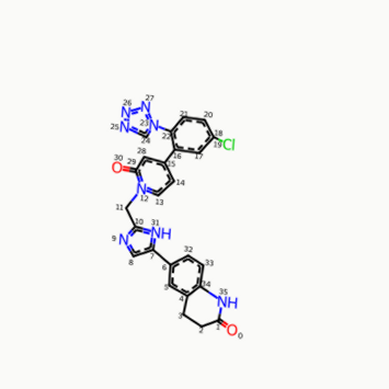 O=C1CCc2cc(-c3cnc(Cn4ccc(-c5cc(Cl)ccc5-n5cnnn5)cc4=O)[nH]3)ccc2N1